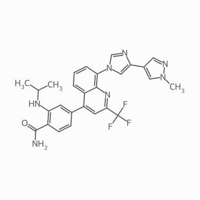 CC(C)Nc1cc(-c2cc(C(F)(F)F)nc3c(-n4cnc(-c5cnn(C)c5)c4)cccc23)ccc1C(N)=O